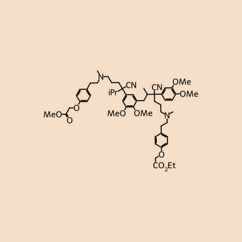 CCOC(=O)COc1ccc(CCN(C)CCCC(C#N)(c2ccc(OC)c(OC)c2)C(C)Cc2cc(C(C#N)(CCCN(C)CCc3ccc(OCC(=O)OC)cc3)C(C)C)cc(OC)c2OC)cc1